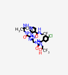 CC(C)(N)CNC(=O)c1nc(Cn2nc(-c3ccc(Cl)cc3)n(CC(O)C(F)(F)F)c2=O)nn1-c1cnccc1C(=O)NCC(F)(F)F